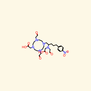 O=CCN1CCN(CC(=O)O)CCN(CC=O)CCN(CC(CCCc2ccc([N+](=O)[O-])cc2)N(CC=O)CC(=O)O)CC1